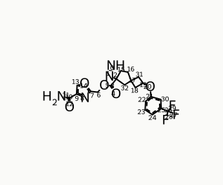 N=NC1(C(=O)OCc2nc(C(N)=O)co2)CCC2(CC(Oc3cccc(C(F)(F)F)c3)C2)C1